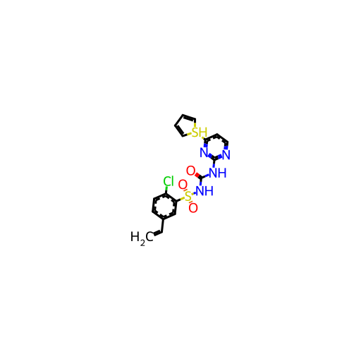 C=Cc1ccc(Cl)c(S(=O)(=O)NC(=O)Nc2nccc([SH]3C=CC=C3)n2)c1